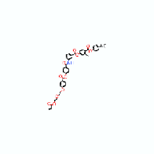 [C-]#[N+]c1ccc(OC(=O)c2ccc(OC(=O)c3cccc(NC(=O)c4ccc(OC(=O)c5ccc(OCCOCCOC(=O)C=C)cc5)cc4)c3)cc2C)cc1